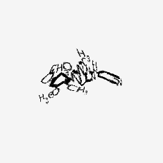 CCN1C(=O)N(c2cc(OC)cc(OC)c2C)Cc2cnc(Nc3ccncc3)nc21